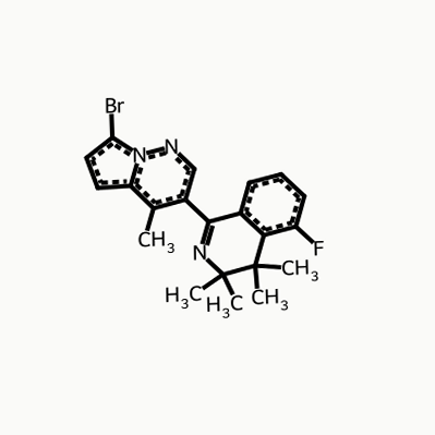 Cc1c(C2=NC(C)(C)C(C)(C)c3c(F)cccc32)cnn2c(Br)ccc12